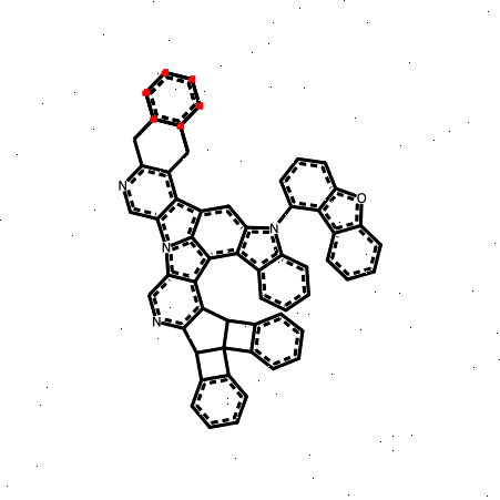 c1ccc2c(c1)C1c3ccccc3C2c2c1ncc1c2c2cc3c(c4ccccc4n3-c3cccc4oc5ccccc5c34)c3c4c5c(ncc4n1c23)C1c2ccccc2C12c1ccccc1C52